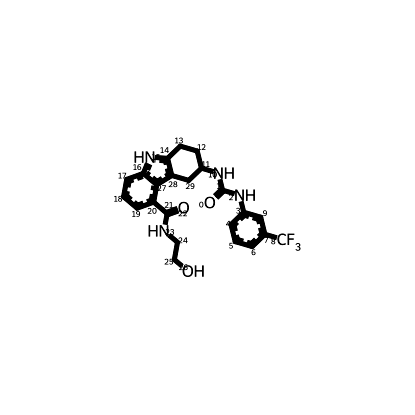 O=C(Nc1cccc(C(F)(F)F)c1)NC1CCc2[nH]c3cccc(C(=O)NCCO)c3c2C1